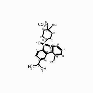 CC(O)c1ccc(S(=O)(=O)N2CCC(F)(C(=O)O)CC2)c(-c2ccccc2Cl)c1